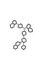 c1ccc(-c2ccc(-c3ccc(N(c4ccc(-c5cccc6ccccc56)cc4)c4cccc5ccccc45)cc3)cc2-c2ccc3ccccc3c2)cc1